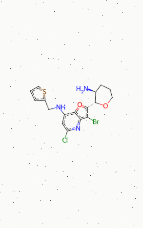 N[C@H]1CCCO[C@@H]1c1oc2c(NCc3cccs3)cc(Cl)nc2c1Br